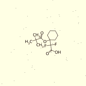 CC(C)(C)C(=O)OC1(C(F)(F)C(=O)O)CCCCC1